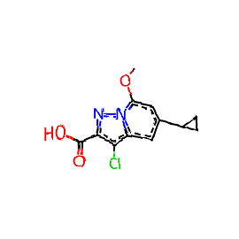 COc1cc(C2CC2)cc2c(Cl)c(C(=O)O)nn12